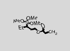 C=CC(=O)OCCC(CC)[Si](OC)(OC)OC